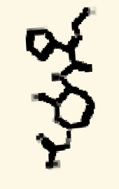 O=C(O)C[C@H]1C=CC[C@H](NC(=O)/C(=N/CO)c2cccs2)B(O)O1